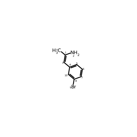 CC(N)=Cc1cccc(Br)c1